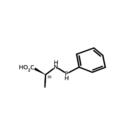 C[C@H](NPc1ccccc1)C(=O)O